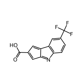 O=C(O)C1=CC2=Nc3ccc(C(F)(F)F)cc3C2=C1